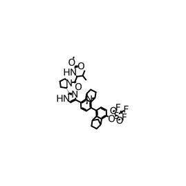 COC(=O)N[C@H](C(=O)N1CCC[C@H]1c1nc(-c2ccc(-c3ccc(OS(=O)(=O)C(F)(F)F)c4c3C3CCC4C3)c3c2C2CCC3N2C)c[nH]1)C(C)C